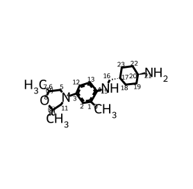 Cc1cc(N2C[C@@H](C)O[C@@H](C)C2)ccc1NC[C@H]1CC[C@H](N)CC1